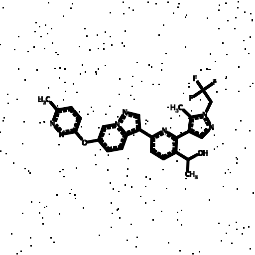 Cc1ccc(Oc2ccc3c(-c4ccc(C(C)O)c(-c5cnn(CC(F)(F)F)c5C)n4)cnn3c2)nn1